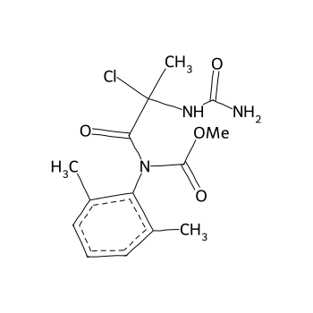 COC(=O)N(C(=O)C(C)(Cl)NC(N)=O)c1c(C)cccc1C